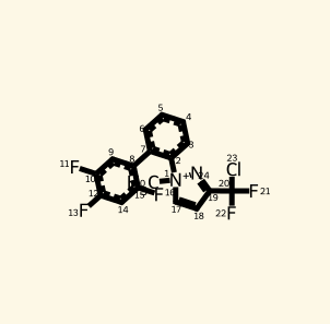 C[N+]1(c2ccccc2-c2cc(F)c(F)cc2F)C=CC(C(F)(F)Cl)=N1